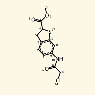 COC(=O)C1Cc2ccc(NC(=O)CCl)cc2S1